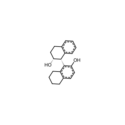 Oc1ccc2c(c1[C@H]1c3ccccc3CC[C@H]1O)CCCC2